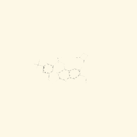 COc1cc2nc(C)nc(N[C@H](C)c3cc(N)cc(C(F)(F)F)n3)c2cc1OC1CCC1O